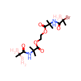 BC(B)(C)C(=O)NC(C)(C)C(=O)OCCOC(=O)C(C)(C)NC(=O)C(B)(C)Br